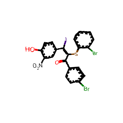 O=C(C(Sc1ccccc1Br)=C(I)c1ccc(O)c([N+](=O)[O-])c1)c1ccc(Br)cc1